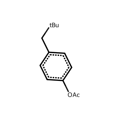 CC(=O)Oc1ccc(CC(C)(C)C)cc1